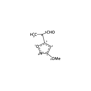 COc1cc(C(C)C=O)on1